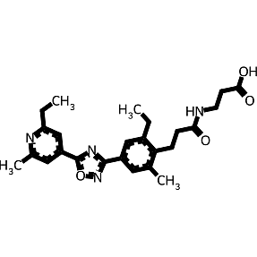 CCc1cc(-c2nc(-c3cc(C)c(CCC(=O)NCCC(=O)O)c(CC)c3)no2)cc(C)n1